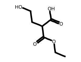 CCOC(=O)C(CCO)C(=O)O